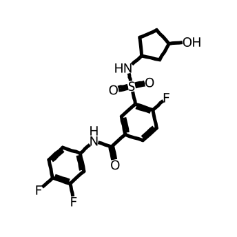 O=C(Nc1ccc(F)c(F)c1)c1ccc(F)c(S(=O)(=O)NC2CCC(O)C2)c1